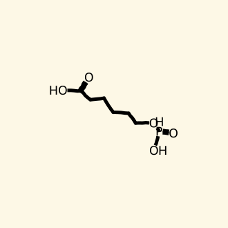 O=C(O)CCCCCO[PH](=O)O